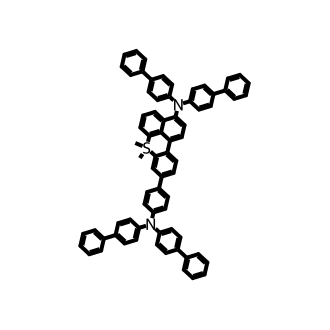 CS1(C)c2cc(-c3ccc(N(c4ccc(-c5ccccc5)cc4)c4ccc(-c5ccccc5)cc4)cc3)ccc2-c2ccc(N(c3ccc(-c4ccccc4)cc3)c3ccc(-c4ccccc4)cc3)c3cccc1c23